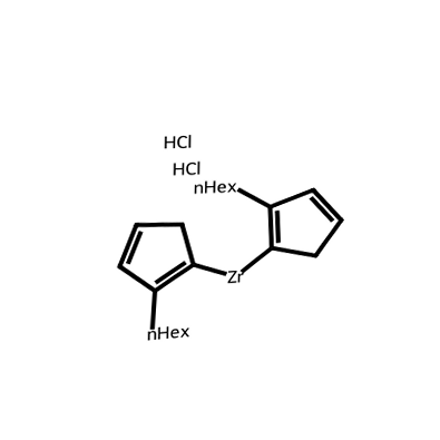 CCCCCCC1=[C]([Zr][C]2=C(CCCCCC)C=CC2)CC=C1.Cl.Cl